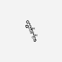 O=C(Cc1cccs1)NCC[S+]([O-])CC(=O)NC(CCCN1CCCCC1)Oc1ccccc1